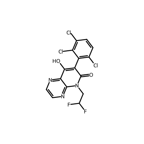 O=c1c(-c2c(Cl)ccc(Cl)c2Cl)c(O)c2nccnc2n1CC(F)F